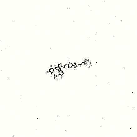 COc1cc(-n2c(C(C)(C)c3ccc(F)c(Cl)c3)cnc2SCC2=C(F)C=C(S(=O)(=O)NCCC[N+](C)(C)C)CC2F)ccc1F